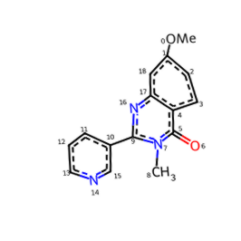 COc1ccc2c(=O)n(C)c(-c3cccnc3)nc2c1